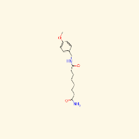 COc1ccc(CNC(=O)CCCCCCC(N)=O)cc1